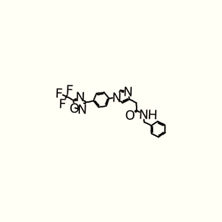 O=C(Cc1cn(-c2ccc(-c3noc(C(F)(F)F)n3)cc2)cn1)NCc1ccccc1